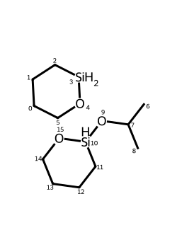 C1CC[SiH2]OC1.CC(C)O[SiH]1CCCCO1